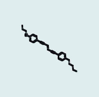 CCCCCc1ccc(C#C/C=C/C#Cc2ccc(OCCC)cc2)cc1